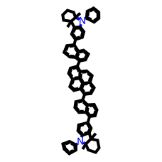 CC12CCCCC1(C)N(c1ccccc1)c1ccc(-c3cccc4c(-c5ccc6ccc7c(-c8cccc9c(-c%10ccc%11c(c%10)C%10(C)CCCCC%10(C)N%11c%10ccccc%10)cccc89)ccc8ccc5c6c87)cccc34)cc12